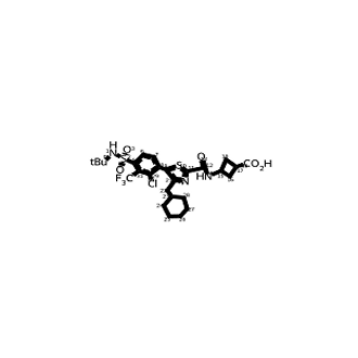 CC(C)(C)NS(=O)(=O)c1ccc(-c2sc(C(=O)NC3CC(C(=O)O)C3)nc2CC2CCCCC2)c(Cl)c1C(F)(F)F